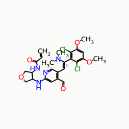 C=CC(=O)NC1COCC1Nc1cc(C=O)c(/C=C(/c2c(Cl)c(OC)cc(OC)c2Cl)N(C)C)cn1